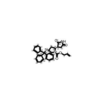 C=CCOC(=O)N1C[C@@H](SC(c2ccccc2)(c2ccccc2)c2ccccc2)C[C@H]1C1CC(=O)NC1=O